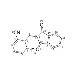 N#CC1=CC=CC(F)C1CN1C(=O)c2ccccc2C1=O